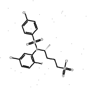 C[C@H](CCCS(=O)(=O)Cl)N(c1cc(Cl)ccc1F)S(=O)(=O)c1ccc(Cl)cc1